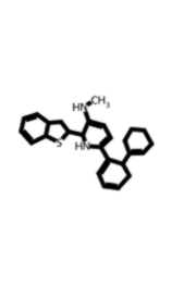 CNC1=CC=C(C2=CC=CCC2C2=CCCCC2)NC1C1CC2C=CC=CC2S1